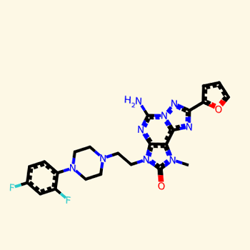 Cn1c(=O)n(CCN2CCN(c3ccc(F)cc3F)CC2)c2nc(N)n3nc(-c4ccco4)nc3c21